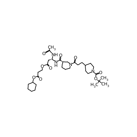 CC(=O)N[C@H](CC(=O)OCCC(=O)OC1CCCCC1)NC(=O)[C@@H]1CCCN(C(=O)CCC2CCN(C(=O)OC(C)(C)C)CC2)C1